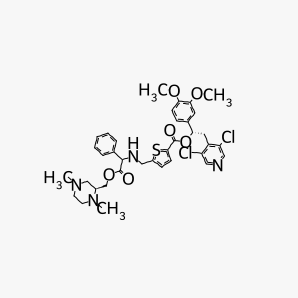 COc1ccc([C@H](Cc2c(Cl)cncc2Cl)OC(=O)c2ccc(CNC(C(=O)OC[C@@H]3CN(C)CCN3C)c3ccccc3)s2)cc1OC